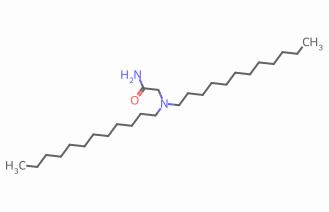 CCCCCCCCCCCCN(CCCCCCCCCCCC)CC(N)=O